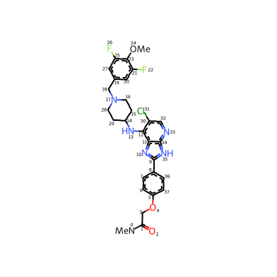 CNC(=O)COc1ccc(-c2nc3c(NC4CCN(Cc5cc(F)c(OC)c(F)c5)CC4)c(Cl)cnc3[nH]2)cc1